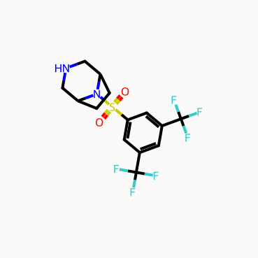 O=S(=O)(c1cc(C(F)(F)F)cc(C(F)(F)F)c1)N1C2CCC1CNC2